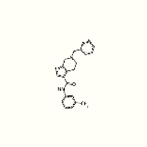 O=C(Nc1cccc(C(F)(F)F)c1)c1csc2c1CCN(Cc1cccnc1)C2